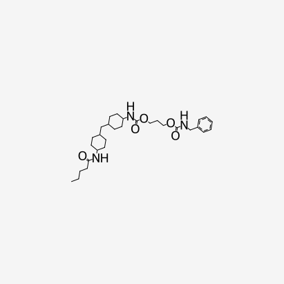 CCCCC(=O)NC1CCC(CC2CCC(NC(=O)OCCCOC(=O)NCc3ccccc3)CC2)CC1